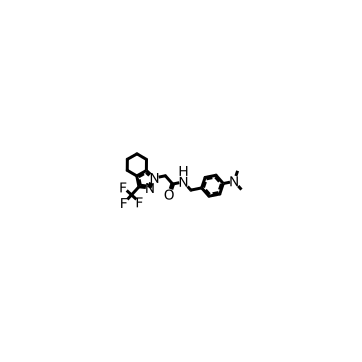 CN(C)c1ccc(CNC(=O)Cn2nc(C(F)(F)F)c3c2CCCC3)cc1